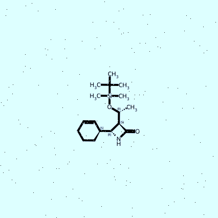 C[C@@H](O[Si](C)(C)C(C)(C)C)[C@H]1C(=O)N[C@@H]1[C@@H]1C=CCCC1